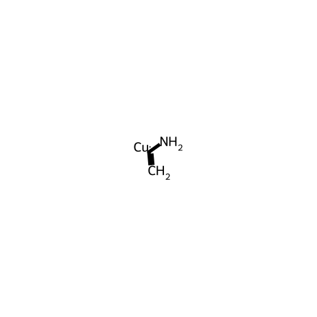 C=CN.[Cu]